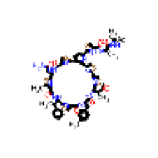 C=C(NC(=O)C(=C)NC(=O)c1csc(-c2ccc3c(n2)-c2csc(n2)-c2csc(n2)C(C(C)C2CO2)NC(=O)C(Cc2ccc(C)cc2)NC(=O)c2csc(n2)C(C(C)c2ccccc2)NC(=O)c2nc(sc2C)C(CC(N)=O)NC(=O)c2csc-3n2)n1)C(C)=O